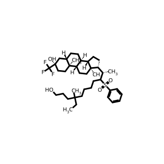 CCC(C)(CCCO)CCCCC([C@@H](C)[C@H]1CC[C@H]2[C@@H]3CC[C@H]4C[C@](O)(C(F)(F)F)CC[C@]4(C)[C@H]3CC[C@]12C)S(=O)(=O)c1ccccc1